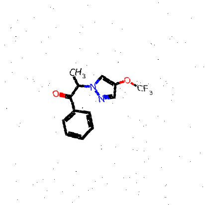 CC(C(=O)c1ccccc1)n1cc(OC(F)(F)F)cn1